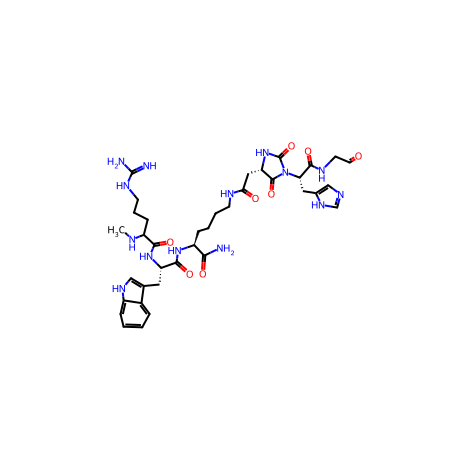 CNC(CCCNC(=N)N)C(=O)N[C@@H](Cc1c[nH]c2ccccc12)C(=O)N[C@@H](CCCCNC(=O)C[C@@H]1NC(=O)N([C@@H](Cc2cnc[nH]2)C(=O)NCC=O)C1=O)C(N)=O